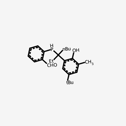 CCCCC(CC)(Pc1ccccc1C=O)c1cc(C(C)(C)C)cc(C)c1O